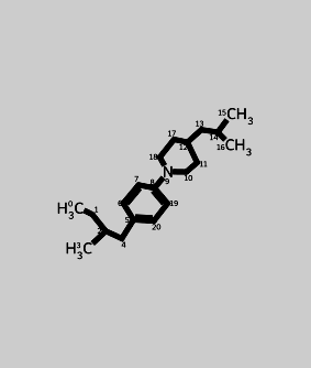 CCC(C)Cc1ccc(N2CCC(CC(C)C)CC2)cc1